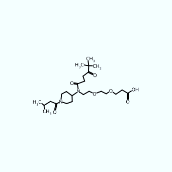 CC(C)CC(=O)N1CCC(N(CCOCCOCCC(=O)O)C(=O)CCC(=O)C(C)(C)C)CC1